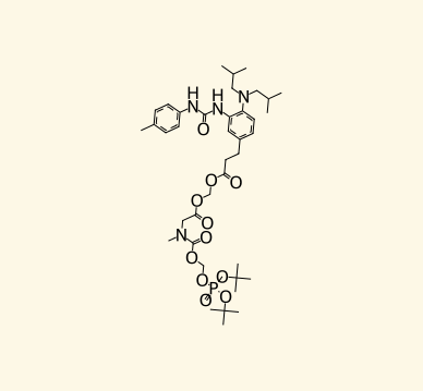 Cc1ccc(NC(=O)Nc2cc(CCC(=O)OCOC(=O)CN(C)C(=O)OCOP(=O)(OC(C)(C)C)OC(C)(C)C)ccc2N(CC(C)C)CC(C)C)cc1